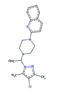 Cc1c(Cl)c(C(F)(F)F)nn1C(C=O)N1CCN(c2ccc3ccccc3n2)CC1